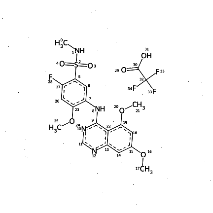 CNS(=O)(=O)c1cc(Nc2ncnc3cc(OC)cc(OC)c23)c(OC)cc1F.O=C(O)C(F)(F)F